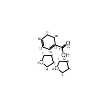 C1CCOC1.C1CCOC1.O=C(O)C1=CC=CCC1